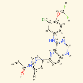 C=CC(=O)N1CC2CC[C@H]1CN2c1ccc2ncnc(Nc3ccc(OC(F)F)c(Cl)c3)c2n1